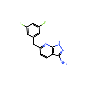 Nc1n[nH]c2nc(Cc3cc(F)cc(F)c3)ccc12